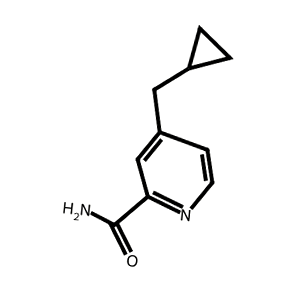 NC(=O)c1cc(CC2CC2)ccn1